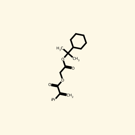 C=C(C(=O)OCC(=O)OC(C)(C)C1CCCCC1)C(C)C